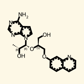 C[C@@H](O)[C@@H](O[C@@H](CO)COc1ccc2cccnc2c1)n1ccc2c(N)ncnc21